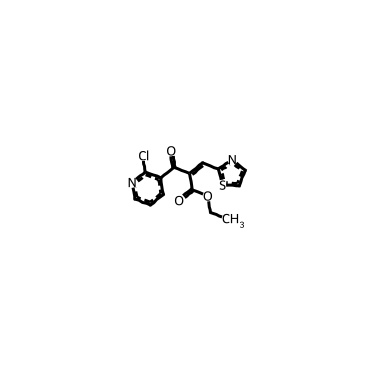 CCOC(=O)C(=Cc1nccs1)C(=O)c1cccnc1Cl